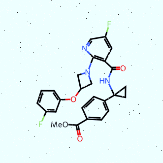 COC(=O)c1ccc(C2(NC(=O)c3cc(F)cnc3N3CC(Oc4cccc(F)c4)C3)CC2)cc1